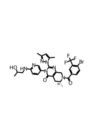 Cc1cc(C)n(-c2nc3c(c(=O)n2-c2ccc(NCC(C)O)nc2)C[C@@H](C)N(C(=O)c2ccc(Br)c(C(F)(F)F)c2)C3)n1